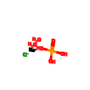 O.O.O=P(O)(O)O.[Cl-].[Na+]